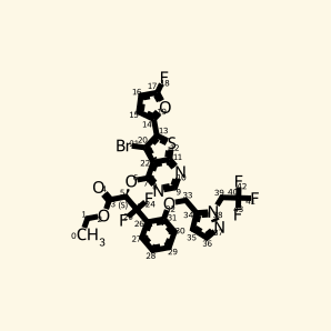 CCOC(=O)[C@H](Oc1ncnc2sc(-c3ccc(F)o3)c(Br)c12)C(F)(F)c1ccccc1OCc1ccnn1CC(F)(F)F